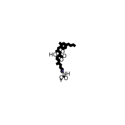 CCCCc1ccc(CC(C)C(=O)c2c(O)cc(C(C)CC/C=C/NC(=O)OI)oc2=O)c(C)c1